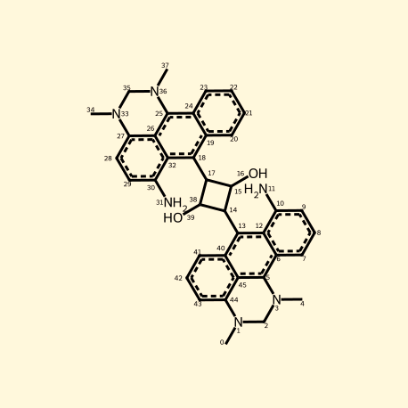 CN1CN(C)c2c3cccc(N)c3c(C3C(O)C(c4c5ccccc5c5c6c(ccc(N)c46)N(C)CN5C)C3O)c3cccc1c23